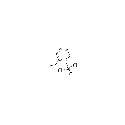 CCc1ccccc1[Si](Cl)(Cl)Cl